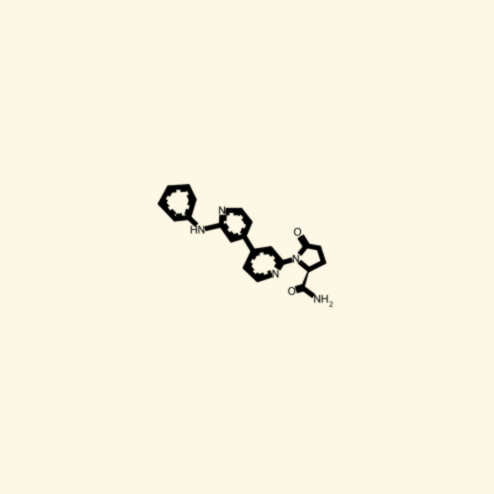 NC(=O)[C@@H]1CCC(=O)N1c1cc(-c2ccnc(Nc3ccccc3)c2)ccn1